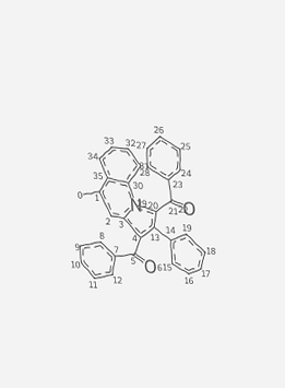 Cc1cc2c(C(=O)c3ccccc3)c(-c3ccccc3)c(C(=O)c3ccccc3)n2c2ccccc12